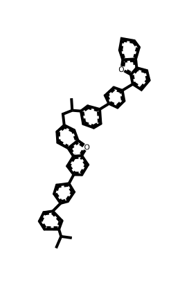 CC(C)c1cccc(-c2ccc(-c3ccc4oc5cc(CC(C)c6cccc(-c7ccc(-c8cccc9c8oc8ccccc89)cc7)c6)ccc5c4c3)cc2)c1